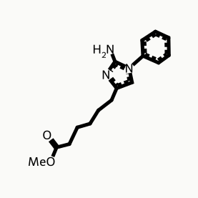 COC(=O)CCCCCc1cn(-c2ccccc2)c(N)n1